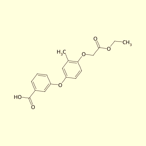 CCOC(=O)COc1ccc(Oc2cccc(C(=O)O)c2)cc1C